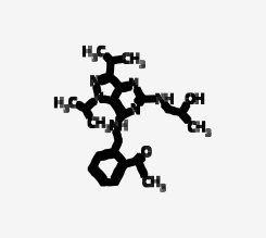 CC(=O)c1ccccc1CNc1nc(NCC(C)O)nc2c(C(C)C)nn(C(C)C)c12